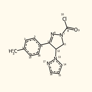 Cc1ccc(C2=NN(C(=O)Cl)CC2n2cccn2)cc1